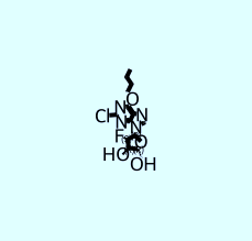 CCCCOc1nc(Cl)nc2c1ncn2[C@@H]1O[C@H](CO)[C@@H](O)[C@@H]1F